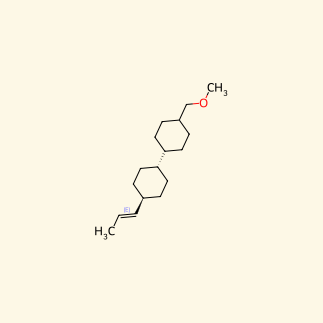 C/C=C/[C@H]1CC[C@H](C2CCC(COC)CC2)CC1